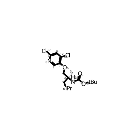 CC(C)C[C@@](C)(COc1cnc(Cl)cc1Cl)NC(=O)OC(C)(C)C